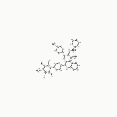 N#Cc1ccc(C2=Cc3c(-c4ccc(-c5c(F)c(F)c(N)c(F)c5F)cc4)nc4ccccc4c3C(=N)/C2=N\Nc2ccccc2)cc1